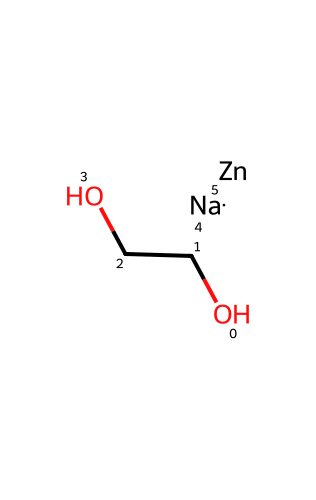 OCCO.[Na].[Zn]